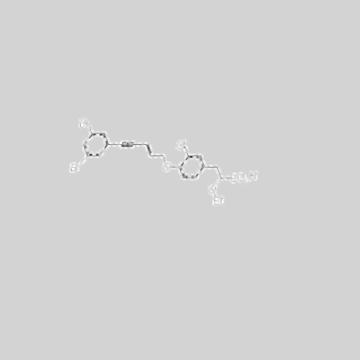 CCOC(Cc1ccc(OCC=CC#Cc2cc(Br)cc(Br)c2)c(Cl)c1)C(=O)O